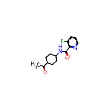 CC(=O)C1CCC(NC(=O)c2ncccc2F)CC1